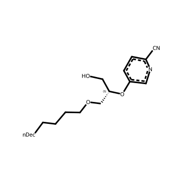 CCCCCCCCCCCCCCOC[C@H](CO)Oc1ccc(C#N)nc1